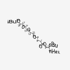 CCCCCCC(CCCC)COC(=O)CCCOCCOCCOCCOCC(C)C